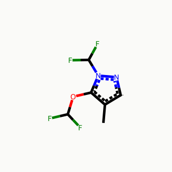 Cc1[c]nn(C(F)F)c1OC(F)F